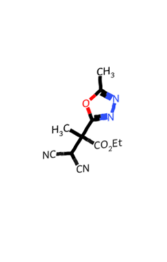 CCOC(=O)C(C)(c1nnc(C)o1)C(C#N)C#N